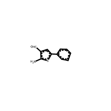 Nc1sc(-c2ccccc2)cc1[C]=O